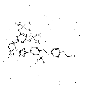 CCCc1ccc(CCc2ccc(-c3noc([C@@H]4[C@@H](O)CCN4/C(=N/C(=O)OC(C)(C)C)NC(=O)OC(C)(C)C)n3)cc2C(F)(F)F)cc1